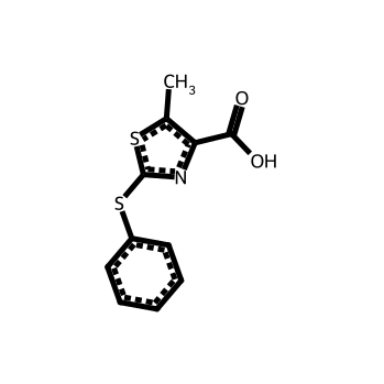 Cc1sc(Sc2ccccc2)nc1C(=O)O